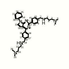 CN(C)CCCNCc1ccc(-c2nc(-c3ccc(CNCCCN(C)C)cc3)c3ccn(-c4ccccc4)c3n2)cc1